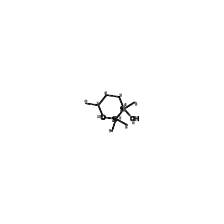 CC1CC[Si](C)(O)[Si](C)(C)O1